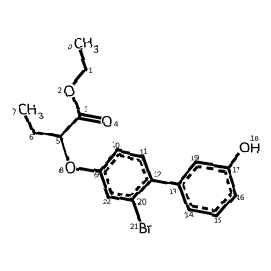 CCOC(=O)C(CC)Oc1ccc(-c2cccc(O)c2)c(Br)c1